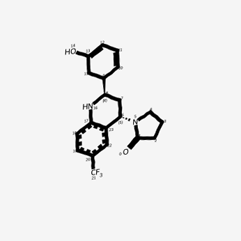 O=C1CCCN1[C@H]1C[C@H](C2C=CC=C(O)C2)Nc2ccc(C(F)(F)F)cc21